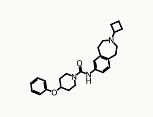 O=C(Nc1ccc2c(c1)CCN(C1CCC1)CC2)N1CCC(Oc2ccccc2)CC1